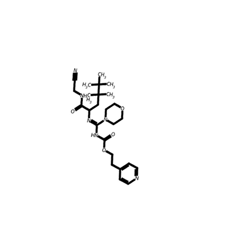 CC(C)(C)C(C)(C)CC(/N=C(/NC(=O)OCCc1ccncc1)N1CCOCC1)C(=O)NCC#N